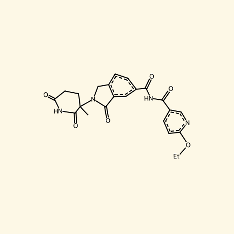 CCOc1ccc(C(=O)NC(=O)c2ccc3c(c2)C(=O)N(C2(C)CCC(=O)NC2=O)C3)cn1